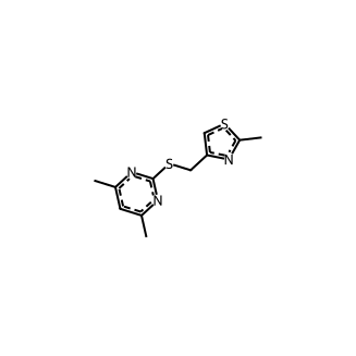 Cc1cc(C)nc(SCc2csc(C)n2)n1